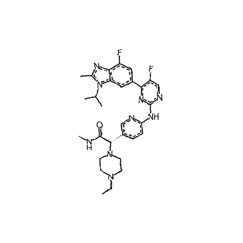 CCN1CCN([C@H](C(=O)NC)c2ccc(Nc3ncc(F)c(-c4cc(F)c5nc(C)n(C(C)C)c5c4)n3)nc2)CC1